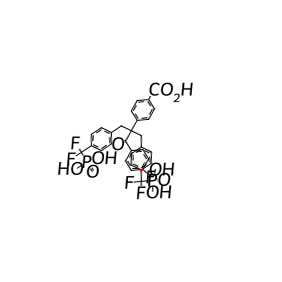 O=C(O)c1ccc(C(Cc2ccc(C(F)(F)P(=O)(O)O)cc2)(Cc2ccc(C(F)(F)P(=O)(O)O)cc2)C(=O)c2ccc(F)cc2)cc1